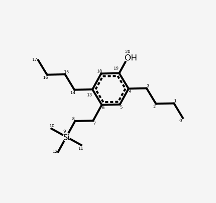 CCCCc1cc(CC[Si](C)(C)C)c(CCCC)cc1O